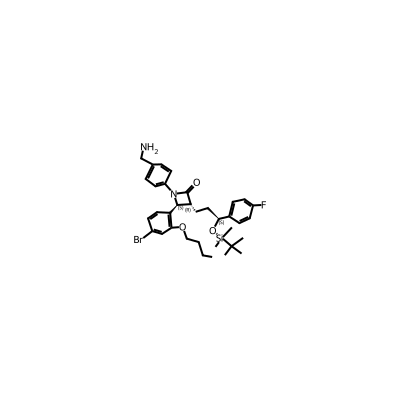 CCCCOc1cc(Br)ccc1[C@@H]1[C@@H](CC[C@H](O[Si](C)(C)C(C)(C)C)c2ccc(F)cc2)C(=O)N1c1ccc(CN)cc1